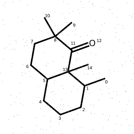 CC1CCCC2CCC(C)(C)C(=O)C12C